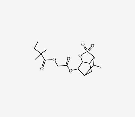 CCC(C)(C)C(=O)OCC(=O)OC1C2CC3C1OS(=O)(=O)C3C2C